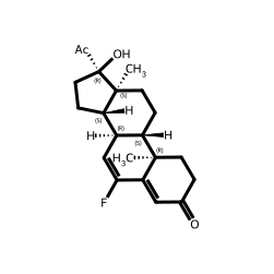 CC(=O)[C@@]1(O)CC[C@H]2[C@@H]3C=C(F)C4=CC(=O)CC[C@]4(C)[C@H]3CC[C@@]21C